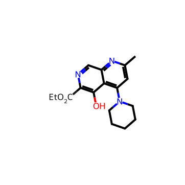 CCOC(=O)c1ncc2nc(C)cc(N3CCCCC3)c2c1O